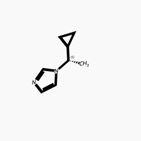 C[C@@H](C1CC1)n1c[c]nc1